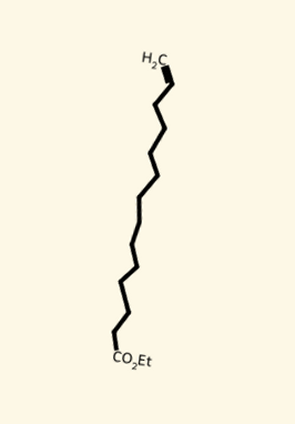 C=CCCCCCCCCCCCC(=O)OCC